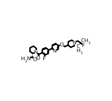 CC(C)(F)CN1CCC(COc2ccc(-c3ccc(C(=O)N4CCCC[C@H]4C(N)=O)c(F)c3)nc2)CC1